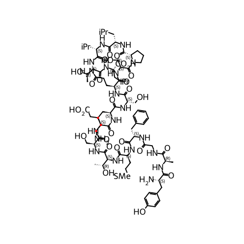 CSCC[C@H](NC(=O)[C@H](Cc1ccccc1)NC(=O)CNC(=O)[C@@H](C)NC(=O)[C@@H](N)Cc1ccc(O)cc1)C(=O)N[C@H](C(=O)N[C@@H](CO)C(=O)N[C@@H](CCC(=O)O)C(=O)N[C@@H](CCCCN)C(=O)N[C@@H](CO)C(=O)N[C@@H](CCC(N)=O)C(=O)N[C@H](C(=O)N1CCC[C@H]1C(=O)N[C@@H](CC(C)C)C(=O)N[C@H](C(=O)N[C@H](C(=O)N[C@@H](CC(C)C)C(=O)O)[C@@H](C)O)C(C)C)[C@@H](C)O)[C@@H](C)O